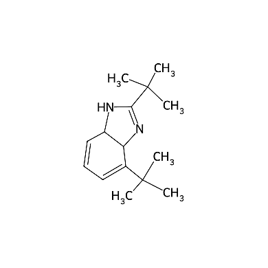 CC(C)(C)C1=CC=CC2NC(C(C)(C)C)=NC12